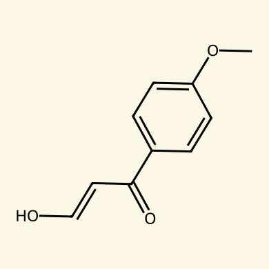 COc1ccc(C(=O)C=CO)cc1